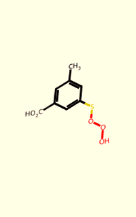 Cc1cc(SOOO)cc(C(=O)O)c1